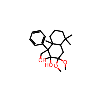 COC1(OC)CC2C(C)(C)CCCC2(C)C(CO)(c2ccccc2)C1(C)O